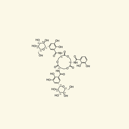 O=C(N[C@H]1COC(=O)[C@@H](NC(=O)c2cc([C@@H]3O[C@H](CO)[C@@H](O)[C@H](O)[C@H]3O)cc(O)c2O)COC(=O)[C@@H](NC(=O)c2cc([C@@H]3O[C@H](CO)[C@@H](O)[C@H](O)[C@H]3O)cc(O)c2O)COC1=O)c1cccc(O)c1O